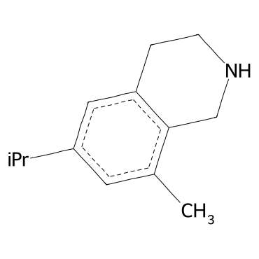 Cc1cc(C(C)C)cc2c1CNCC2